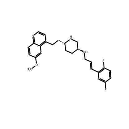 COc1ccc2nccc(CC[C@H]3CC[C@H](NCC=Cc4cc(F)ccc4F)CN3)c2n1